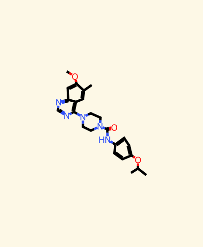 COc1cc2ncnc(N3CCN(C(=O)Nc4ccc(OC(C)C)cc4)CC3)c2cc1C